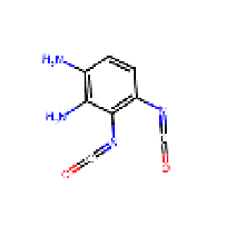 Nc1ccc(N=C=O)c(N=C=O)c1N